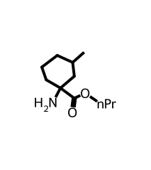 CCCOC(=O)C1(N)CCCC(C)C1